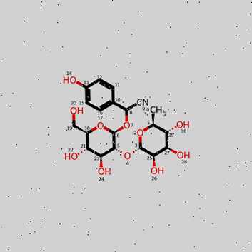 C[C@@H]1O[C@@H](O[C@H]2[C@H](OC(C#N)c3ccc(O)cc3)O[C@H](CO)[C@@H](O)[C@@H]2O)[C@H](O)[C@H](O)[C@H]1O